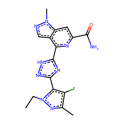 CCn1nc(C)c(F)c1-c1n[nH]c(-c2nc(C(N)=O)cc3c2cnn3C)n1